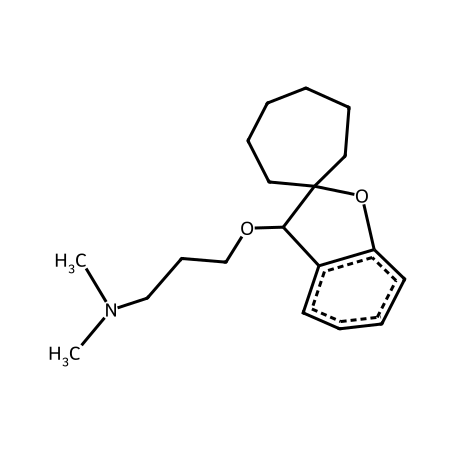 CN(C)CCCOC1c2ccccc2OC12CCCCCC2